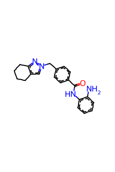 Nc1ccccc1NC(=O)c1ccc(Cn2cc3c(n2)CCCC3)cc1